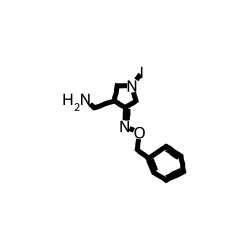 NCC1CN(I)C/C1=N\OCc1ccccc1